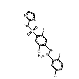 N[C@H](Nc1cc(F)c(S(=O)(=O)Nc2nccs2)cc1Cl)c1cc(Cl)ccc1F